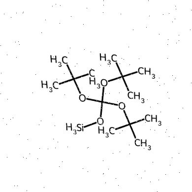 CC(C)(C)OC(O[SiH3])(OC(C)(C)C)OC(C)(C)C